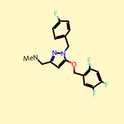 CNCc1cc(OCc2cc(F)c(F)cc2F)n(Cc2ccc(F)cc2)n1